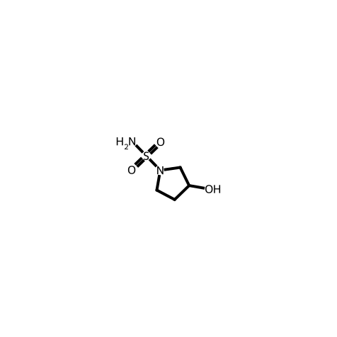 NS(=O)(=O)N1CCC(O)C1